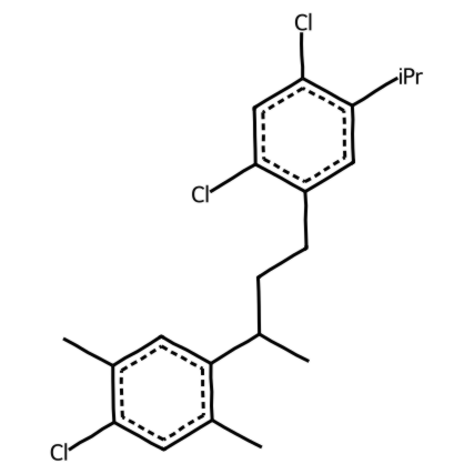 Cc1cc(C(C)CCc2cc(C(C)C)c(Cl)cc2Cl)c(C)cc1Cl